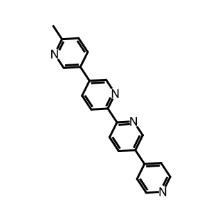 Cc1ccc(-c2ccc(-c3ccc(-c4ccncc4)cn3)nc2)cn1